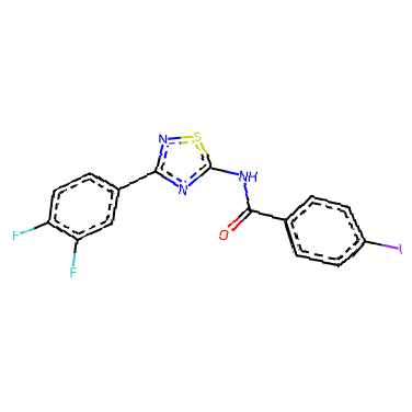 O=C(Nc1nc(-c2ccc(F)c(F)c2)ns1)c1ccc(I)cc1